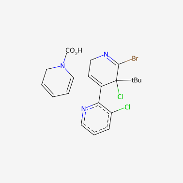 CC(C)(C)C1(Cl)C(c2ncccc2Cl)=CCN=C1Br.O=C(O)N1C=CC=CC1